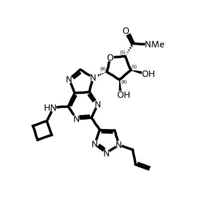 C=CCn1cc(-c2nc(NC3CCC3)c3ncn([C@@H]4O[C@H](C(=O)NC)[C@@H](O)[C@H]4O)c3n2)nn1